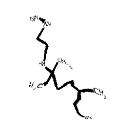 CCCNCCNC(C)(C)CCC(C)CC(C)C